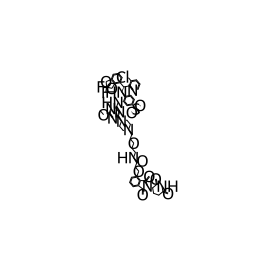 COc1nc(Nc2cc(S(C)(=O)=O)ccc2N[C@@H](c2cccc3c2OC(F)(F)O3)c2ncccc2Cl)nc(N2CCN(CCOCCNC(=O)COc3cccc4c3C(=O)N(C3CCC(=O)NC3=O)C4=O)CC2)n1